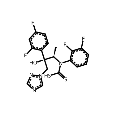 C[C@@H](N(C(=S)S)c1cccc(F)c1F)[C@](O)(Cn1cncn1)c1ccc(F)cc1F